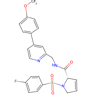 O=C(NCc1cc(-c2ccc(OC(F)(F)F)cc2)ccn1)[C@@H]1C=CCN1S(=O)(=O)c1ccc(F)cc1